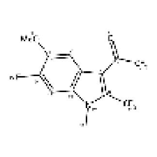 COc1cc2c(C(=O)C(F)(F)F)c(C(F)(F)F)n(C)c2cc1F